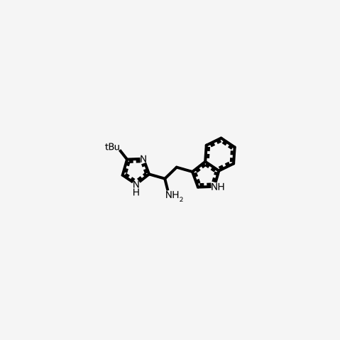 CC(C)(C)c1c[nH]c(C(N)Cc2c[nH]c3ccccc23)n1